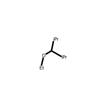 [CH2]COC(C(C)C)C(C)C